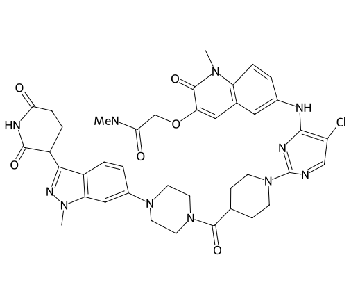 CNC(=O)COc1cc2cc(Nc3nc(N4CCC(C(=O)N5CCN(c6ccc7c(C8CCC(=O)NC8=O)nn(C)c7c6)CC5)CC4)ncc3Cl)ccc2n(C)c1=O